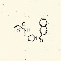 C=CS(=O)(=O)NC[C@H]1CCN(C(=O)c2ccc3ccccc3c2)C1